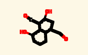 O=C=c1cc(O)c(=C=O)c2c(O)cccc12